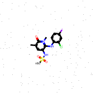 CCCCS(=O)(=O)Nc1cc(C)c(=O)n(C)c1Nc1ccc(I)cc1Cl